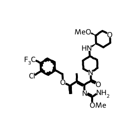 C=C(OCc1ccc(C(F)(F)F)c(Cl)c1)/C(C)=C(\N=C(/N)OC)C(=O)N1CCC(N[C@@H]2CCOC[C@@H]2OC)CC1